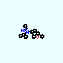 c1ccc(-c2cccc3c2oc2cccc(-c4cc(C5=NC(c6ccccc6)NC(c6cc7ccccc7c7ccccc67)=N5)cc5ccccc45)c23)cc1